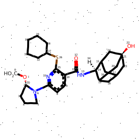 O=C(O)O[C@H]1CCCN1c1ccc(C(=O)N[C@H]2C3CC4CC2C[C@@](O)(C4)C3)c(SC2CCCCC2)n1